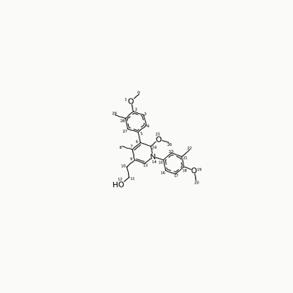 COc1ccc(C2=C(C)C(CCO)=[C]N(c3ccc(OC)c(C)c3)C2OC)cc1C